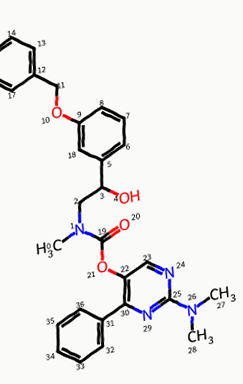 CN(CC(O)c1cccc(OCc2ccccc2)c1)C(=O)Oc1cnc(N(C)C)nc1-c1ccccc1